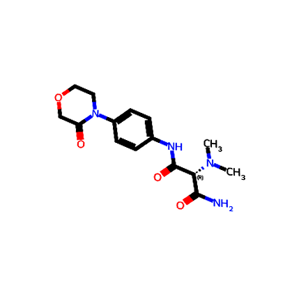 CN(C)[C@H](C(N)=O)C(=O)Nc1ccc(N2CCOCC2=O)cc1